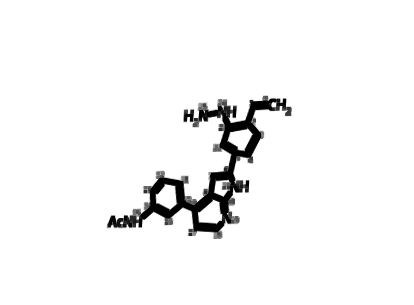 C=Cc1ccc(-c2cc3c(-c4cccc(NC(C)=O)c4)ccnc3[nH]2)cc1NN